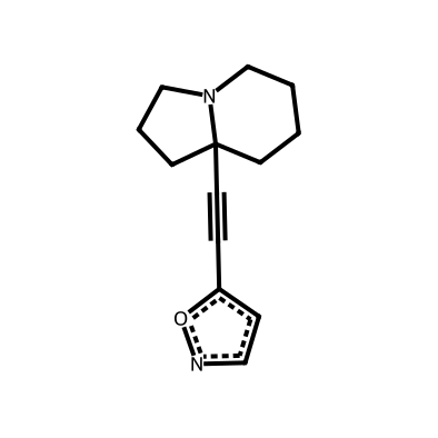 C(#CC12CCCCN1CCC2)c1ccno1